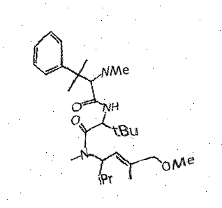 CNC(C(=O)NC(C(=O)N(C)C(/C=C(\C)COC)C(C)C)C(C)(C)C)C(C)(C)c1ccccc1